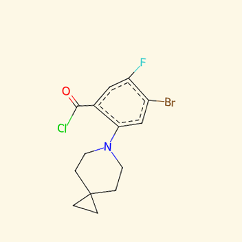 O=C(Cl)c1cc(F)c(Br)cc1N1CCC2(CC1)CC2